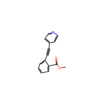 COC(=O)c1ccccc1C#Cc1ccncc1